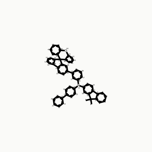 CC1(C)c2ccccc2-c2ccc(N(c3ccc(-c4ccccc4)cc3)c3cccc(-c4ccc5c(c4)C4(c6ccccc6Oc6ccccc64)c4ccccc4-5)c3)cc21